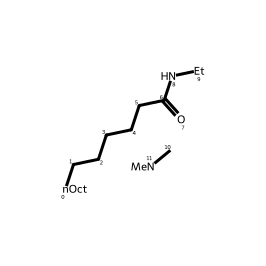 CCCCCCCCCCCCCC(=O)NCC.CNC